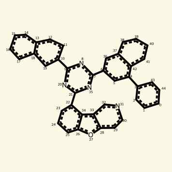 c1ccc(-c2cc(-c3nc(-c4ccc5ccccc5c4)nc(-c4cccc5oc6ccncc6c45)n3)cc3ccccc23)cc1